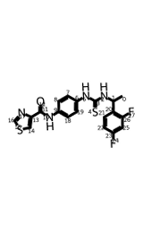 CC(NC(=S)Nc1ccc(NC(=O)c2cscn2)cc1)c1ccc(F)cc1F